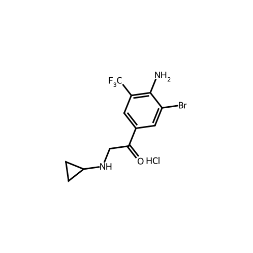 Cl.Nc1c(Br)cc(C(=O)CNC2CC2)cc1C(F)(F)F